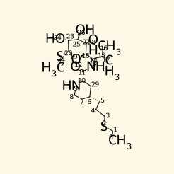 CCSCCC[C@@H]1CCN[C@H](C(=O)N[C@H](C(C)C)[C@H]2O[C@H](SC)[C@H](O)[C@@H](O)[C@H]2O)C1